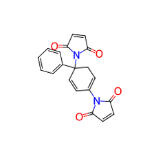 O=C1C=CC(=O)N1C1=CCC(c2ccccc2)(N2C(=O)C=CC2=O)C=C1